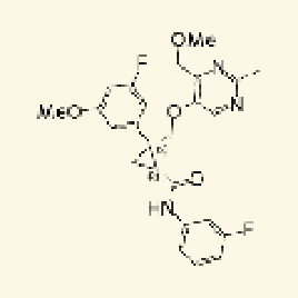 COCc1nc(C)ncc1OC[C@@]1(c2cc(F)cc(OC)c2)C[C@H]1C(=O)Nc1cccc(F)c1